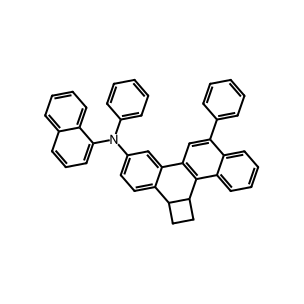 c1ccc(-c2cc3c(c4ccccc24)C2CCC2c2ccc(N(c4ccccc4)c4cccc5ccccc45)cc2-3)cc1